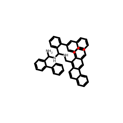 NC(NC(NCc1c2ccccc2cc2c1ccc1ccccc12)c1ccccc1-c1ccc2ccccc2c1)c1ccccc1-c1ccccc1